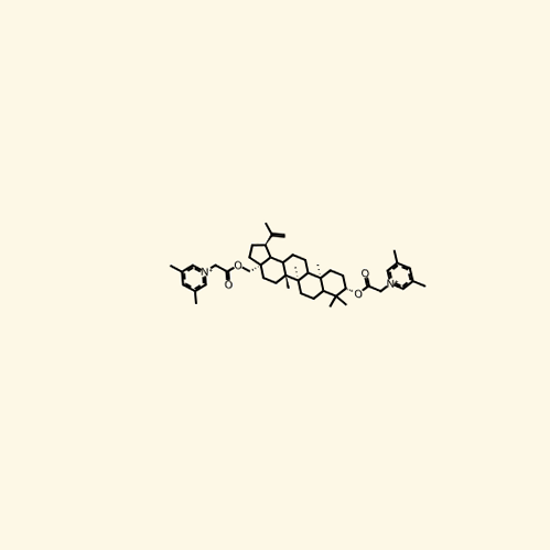 C=C(C)[C@@H]1CC[C@]2(COC(=O)C[n+]3cc(C)cc(C)c3)CC[C@]3(C)C(CCC4[C@@]5(C)CC[C@H](OC(=O)C[n+]6cc(C)cc(C)c6)C(C)(C)C5CC[C@]43C)C12